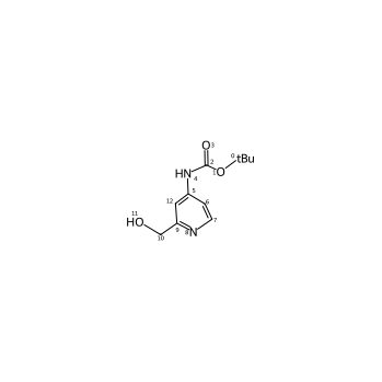 CC(C)(C)OC(=O)Nc1ccnc(CO)c1